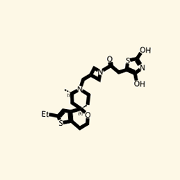 CCc1cc2c(s1)CCO[C@@]21CCN(CC2CN(C(=O)Cc3sc(O)nc3O)C2)[C@@H](C)C1